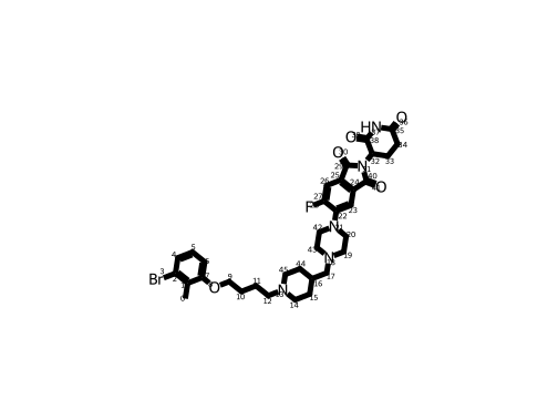 Cc1c(Br)cccc1OCCCCN1CCC(CN2CCN(c3cc4c(cc3F)C(=O)N(C3CCC(=O)NC3=O)C4=O)CC2)CC1